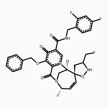 C[C@H]1C=C[C@]2(CC(CF)NO2)[C@H]2CN1C(=O)c1c(OCc3ccccc3)c(=O)c(C(=O)NCc3ccc(F)cc3F)cn12